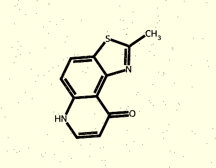 Cc1nc2c(ccc3[nH]ccc(=O)c32)s1